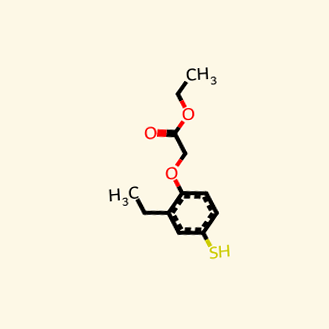 CCOC(=O)COc1ccc(S)cc1CC